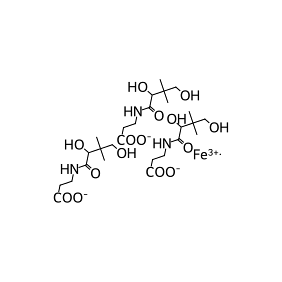 CC(C)(CO)C(O)C(=O)NCCC(=O)[O-].CC(C)(CO)C(O)C(=O)NCCC(=O)[O-].CC(C)(CO)C(O)C(=O)NCCC(=O)[O-].[Fe+3]